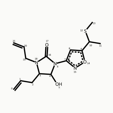 C=CCC1C(O)N(c2cc(C(C)SC)on2)C(=O)N1CC=C